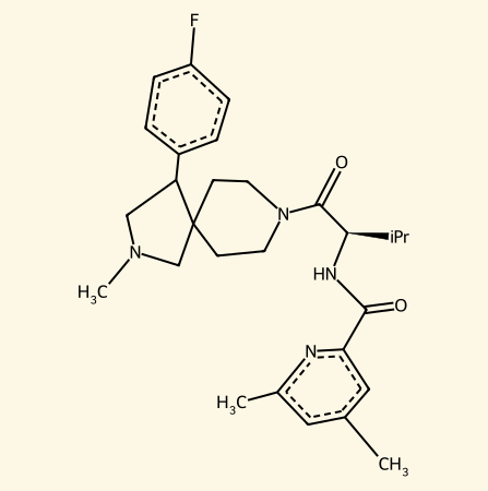 Cc1cc(C)nc(C(=O)N[C@@H](C(=O)N2CCC3(CC2)CN(C)CC3c2ccc(F)cc2)C(C)C)c1